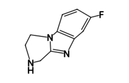 Fc1ccc2c(c1)nc1n2CCNC1